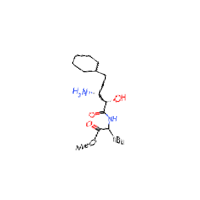 CCCCC(NC(=O)[C@@H](O)[C@H](N)CC1CCCCC1)C(=O)OC